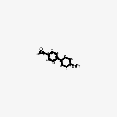 CCCC1CCC(c2ccc(C3CO3)cc2)CC1